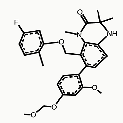 COCOc1ccc(-c2ccc3c(c2COc2cc(F)ccc2C)N(C)C(=O)C(C)(C)N3)c(OC)c1